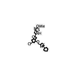 COC1=NN2C=C(c3cc4c(OCc5csc(-c6ccccc6)n5)cc(Cl)cc4o3)NC2S1